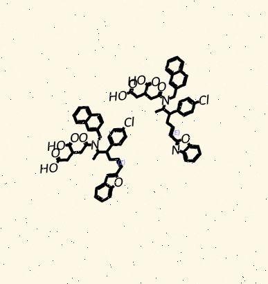 CC(C(C/C=C/c1nc2ccccc2o1)c1ccc(Cl)cc1)N(Cc1ccc2ccccc2c1)C(=O)CC(CC(=O)O)C(=O)O.CC(C(C/C=C\c1cc2ccccc2o1)c1ccc(Cl)cc1)N(Cc1ccc2ccccc2c1)C(=O)CC(CC(=O)O)C(=O)O